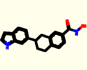 O=C(NO)c1ccc2c(c1)CC(c1ccc3cc[nH]c3c1)CC2